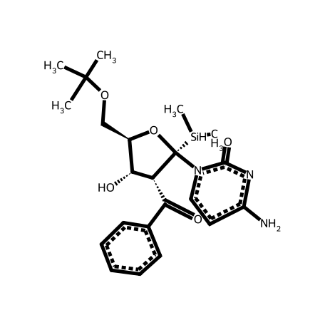 C[SiH](C)[C@@]1(n2ccc(N)nc2=O)O[C@H](COC(C)(C)C)[C@@H](O)[C@H]1C(=O)c1ccccc1